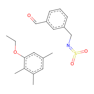 CCOc1cc(C)cc(C)c1C.O=Cc1cccc(CN=S(=O)=O)c1